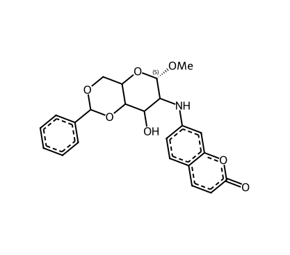 CO[C@H]1OC2COC(c3ccccc3)OC2C(O)C1Nc1ccc2ccc(=O)oc2c1